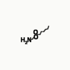 CCCCCCC(=O)OCCN